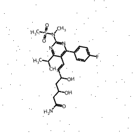 CC(C)c1nc(N(C)S(C)(=O)=O)nc(-c2ccc(F)cc2)c1/C=C/C(O)CC(O)CC(N)=O